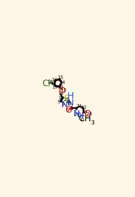 CN1N=C(C(=O)Nc2ncc(COc3cccc(Cl)c3)s2)CCC1=O